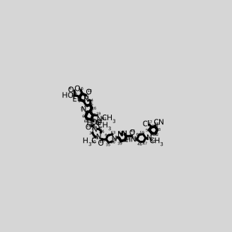 CC[C@@]1(O)C(=O)OCc2c1cc1n(c2=O)Cc2cc3c(CN(C)C)c(OC(=O)N4C[C@H](C)N(C(=O)C5CCN(c6ccc(C(=O)NC7CCC(N(C)c8ccc(C#N)c(Cl)c8)CC7)nn6)CC5)C[C@H]4C)ccc3nc2-1